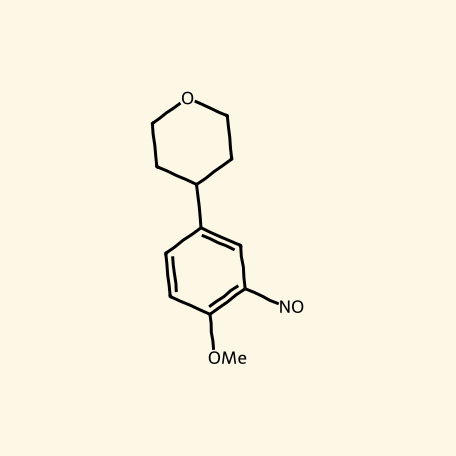 COc1ccc(C2CCOCC2)cc1N=O